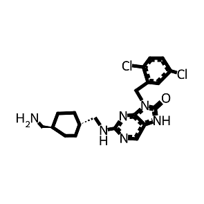 NC[C@H]1CC[C@H](CNc2ncc3[nH]c(=O)n(Cc4cc(Cl)ccc4Cl)c3n2)CC1